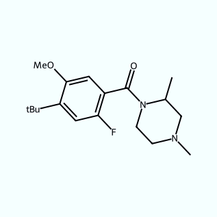 COc1cc(C(=O)N2CCN(C)CC2C)c(F)cc1C(C)(C)C